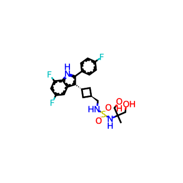 CC(CO)(CO)NS(=O)(=O)NC[C@H]1C[C@H](c2c(-c3ccc(F)cc3)[nH]c3c(F)cc(F)cc32)C1